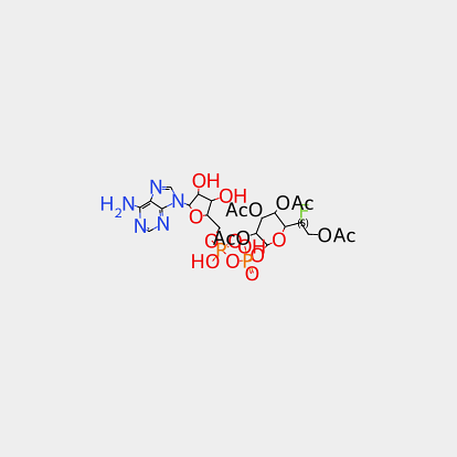 CC(=O)OC[C@H](F)C1OC(OP(=O)(O)OP(=O)(O)OCC2OC(n3cnc4c(N)ncnc43)C(O)C2O)C(OC(C)=O)C(OC(C)=O)C1OC(C)=O